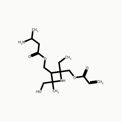 C=CC(=O)OCC1(CC)NC(C)(CO)C1COC(=O)CC(C)N